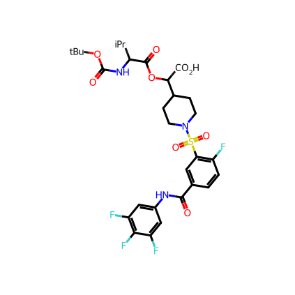 CC(C)C(NC(=O)OC(C)(C)C)C(=O)OC(C(=O)O)C1CCN(S(=O)(=O)c2cc(C(=O)Nc3cc(F)c(F)c(F)c3)ccc2F)CC1